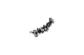 CCOC(=O)c1cn(Cc2ccc(N3CC4C(C3)C4(F)F)nc2C)cn1